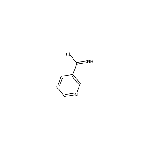 N=C(Cl)c1cncnc1